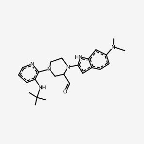 CN(C)c1ccc2cc(N3CCN(c4ncccc4NC(C)(C)C)CC3C=O)[nH]c2c1